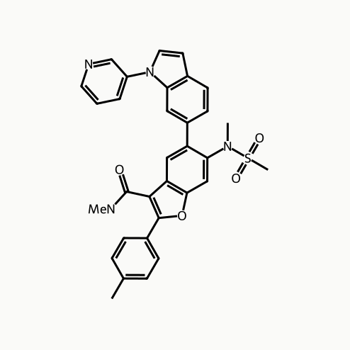 CNC(=O)c1c(-c2ccc(C)cc2)oc2cc(N(C)S(C)(=O)=O)c(-c3ccc4ccn(-c5cccnc5)c4c3)cc12